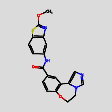 COc1nc2cc(NC(=O)c3ccc4c(c3)-c3cncn3CCO4)ccc2s1